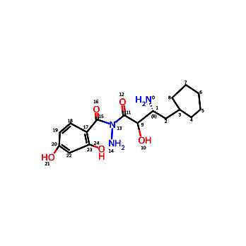 N[C@H](CC1CCCCC1)C(O)C(=O)N(N)C(=O)c1ccc(O)cc1O